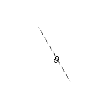 CCCCCCC=CCCCCCCCCCCCC(=O)OCCCCCCCCCCCCCCCCCCCCCCCCCCC